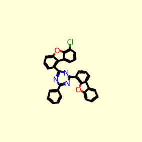 Clc1cccc2c1oc1cccc(-c3nc(-c4ccccc4)nc(-c4cccc5c4oc4ccccc45)n3)c12